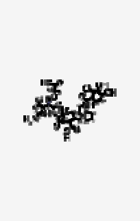 CC(C)(O/N=C(\C(=O)N[C@@H]1C(=O)N2C(C(=O)O)=C(C[N+]3(CCNC(=O)c4ccc(O)c(O)c4Cl)CCCC3)CS[C@H]12)c1nc(N)sc1Cl)C(=O)O